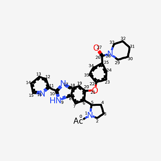 CC(=O)N1CCCC1c1cc2[nH]c(-c3ccccn3)nc2cc1Oc1ccc(C(=O)N2CCCCC2)cc1